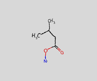 CC(C)CC(=O)O[N]